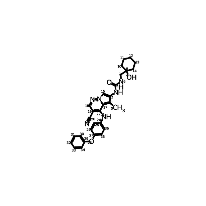 Cc1c(NC(=O)NCC2(O)CCCCC2)cn2ncc(C#N)c(Nc3ccc(Oc4ccccc4)cc3)c12